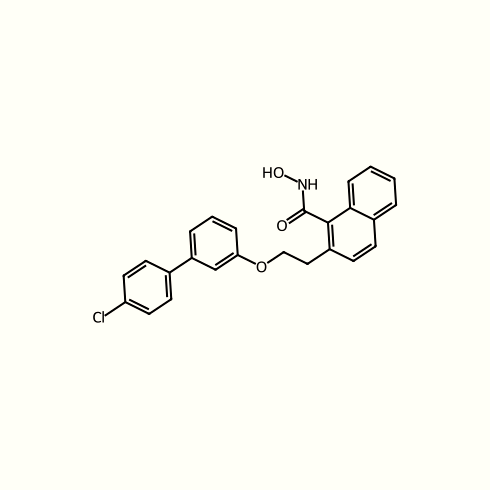 O=C(NO)c1c(CCOc2cccc(-c3ccc(Cl)cc3)c2)ccc2ccccc12